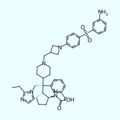 CCc1nccn1C[C@@](c1cccc(F)c1)(C1CCN(CC2CN(c3ccc(S(=O)(=O)c4cccc(N)c4)cc3)C2)CC1)[C@H]1CCC[C@@H]1NC(=O)O